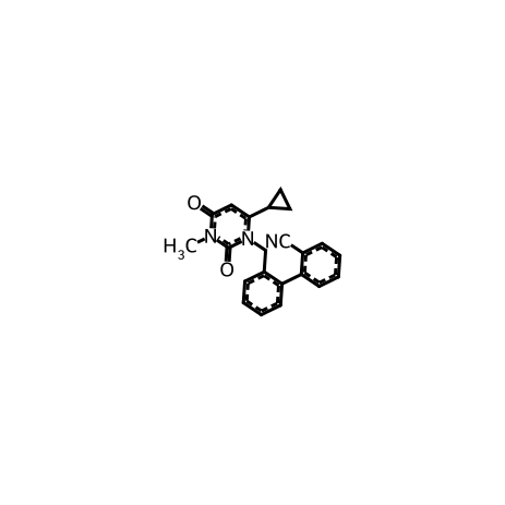 Cn1c(=O)cc(C2CC2)n(Cc2ccccc2-c2ccccc2C#N)c1=O